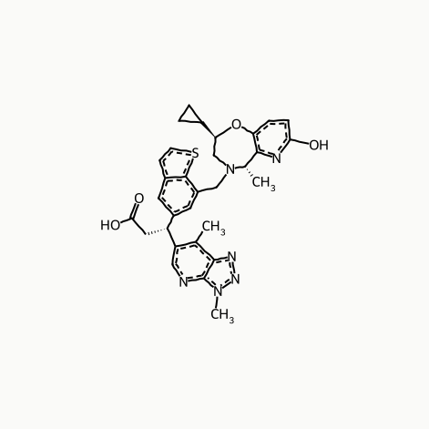 Cc1c([C@H](CC(=O)O)c2cc(CN3C[C@@H](C4CC4)Oc4ccc(O)nc4[C@@H]3C)c3sccc3c2)cnc2c1nnn2C